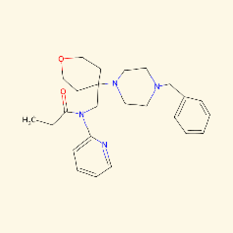 CCC(=O)N(CC1(N2CCN(Cc3ccccc3)CC2)CCOCC1)c1ccccn1